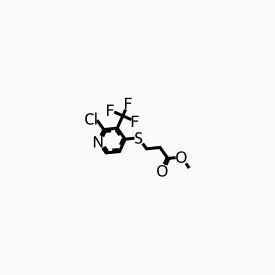 COC(=O)CCSc1ccnc(Cl)c1C(F)(F)F